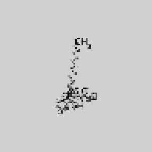 CCCCCCCCCCCCc1cc(C(=O)c2ccccc2Cl)c(NC(=O)CCl)s1